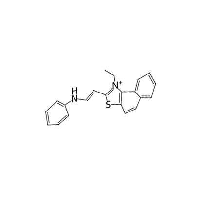 CC[n+]1c(/C=C/Nc2ccccc2)sc2ccc3ccccc3c21